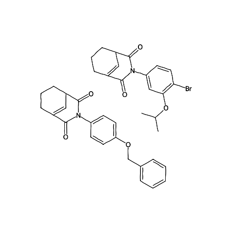 CC(C)Oc1cc(N2C(=O)C3=CC(CCC3)C2=O)ccc1Br.O=C1C2=CC(CCC2)C(=O)N1c1ccc(OCc2ccccc2)cc1